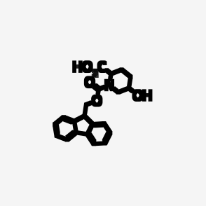 O=C(O)C1CCC(O)CN1C(=O)OCC1c2ccccc2-c2ccccc21